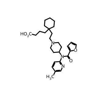 Cc1ccc(N(C(=O)c2ccco2)C2CCN(CCC3(CCCC(=O)O)CCCCC3)CC2)nc1